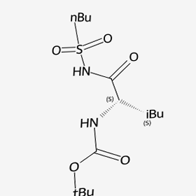 CCCCS(=O)(=O)NC(=O)[C@@H](NC(=O)OC(C)(C)C)[C@@H](C)CC